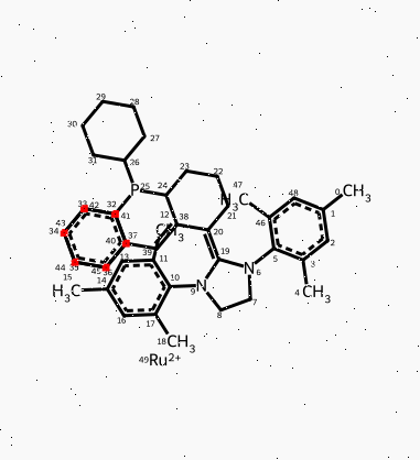 Cc1cc(C)c(N2CCN(c3c(C)cc(C)cc3C)C2=C2CCCC(P(C3CCCCC3)C3CCCCC3)C2=Cc2ccccc2)c(C)c1.[Ru+2]